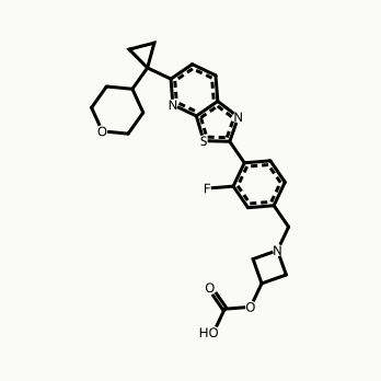 O=C(O)OC1CN(Cc2ccc(-c3nc4ccc(C5(C6CCOCC6)CC5)nc4s3)c(F)c2)C1